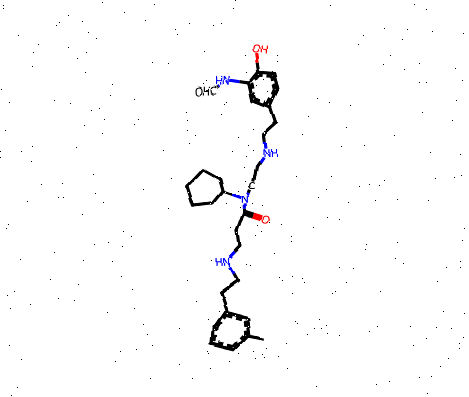 Cc1cccc(CCNCCC(=O)N(CCNCCc2ccc(O)c(NC=O)c2)C2CCCCC2)c1